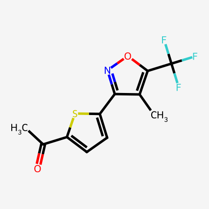 CC(=O)c1ccc(-c2noc(C(F)(F)F)c2C)s1